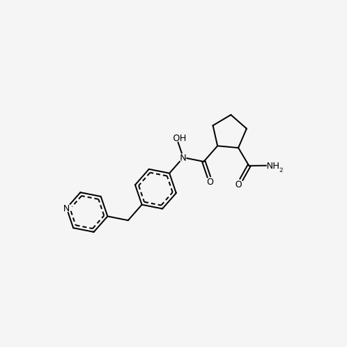 NC(=O)C1CCCC1C(=O)N(O)c1ccc(Cc2ccncc2)cc1